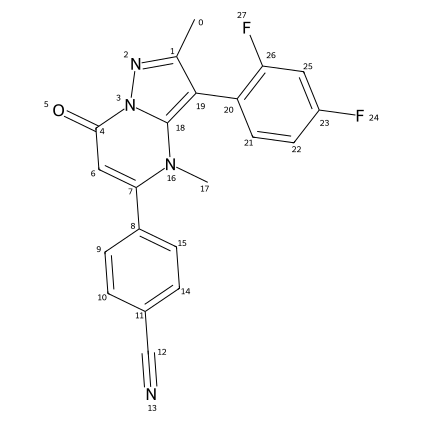 Cc1nn2c(=O)cc(-c3ccc(C#N)cc3)n(C)c2c1-c1ccc(F)cc1F